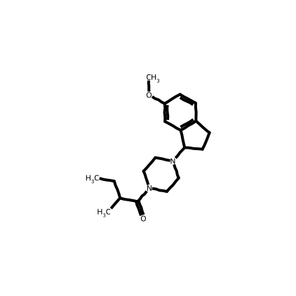 CCC(C)C(=O)N1CCN(C2CCc3ccc(OC)cc32)CC1